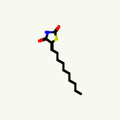 CCCCCCCCC/C=C1\SC(=O)NC1=O